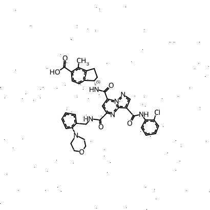 Cc1c(C(=O)O)ccc2c1CC[C@@H]2NC(=O)c1cc(C(=O)NCc2ccccc2N2CCOCC2)nc2c(C(=O)Nc3ccccc3Cl)cnn12